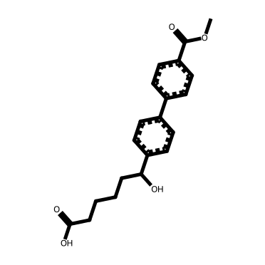 COC(=O)c1ccc(-c2ccc(C(O)CCCCC(=O)O)cc2)cc1